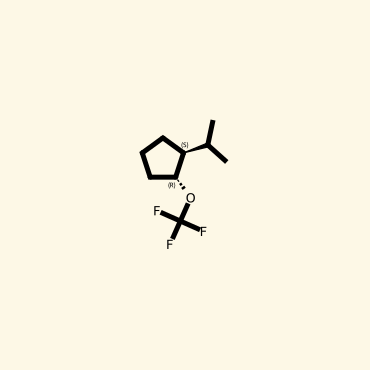 CC(C)[C@@H]1CCC[C@H]1OC(F)(F)F